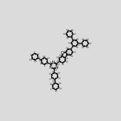 c1ccc(-c2ccc(-c3nc(-c4ccc(-c5ccccc5)cc4)nc(-c4ccc5c(c4)oc4cc(-c6cc(-c7ccccc7)cc(-c7ccccc7)c6)ccc45)n3)cc2)cc1